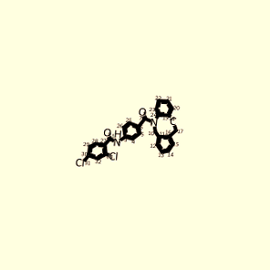 O=C(Nc1ccc(C(=O)N2Cc3ccccc3CCc3ccccc32)cc1)c1ccc(Cl)cc1Cl